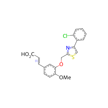 COc1ccc(/C=C/C(=O)O)cc1OCc1nc(-c2ccccc2Cl)cs1